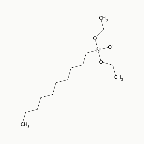 CCCCCCCCCC[N+]([O-])(OCC)OCC